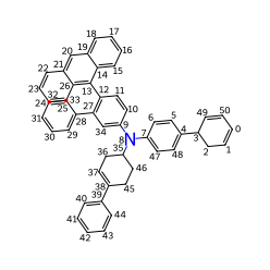 C1=CCC(c2ccc(N(c3ccc(-c4c5ccccc5cc5ccccc45)c(-c4ccccc4)c3)C3CC=C(c4ccccc4)CC3)cc2)C=C1